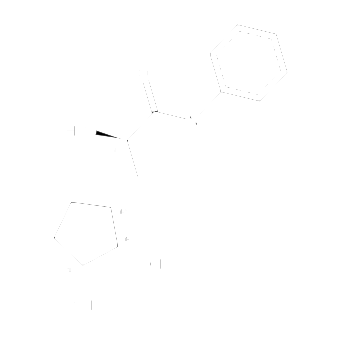 C[C@H]1[C@@H](C[C@@H](C)C(=O)Nc2ccccc2)CC[C@H]1C